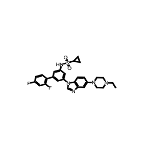 CCN1CCN(c2ccc3c(c2)ncn3-c2cc(NS(=O)(=O)C3CC3)cc(-c3ccc(F)cc3F)c2)CC1